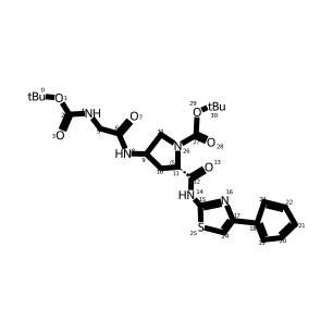 CC(C)(C)OC(=O)NCC(=O)NC1C[C@@H](C(=O)Nc2nc(-c3ccccc3)cs2)N(C(=O)OC(C)(C)C)C1